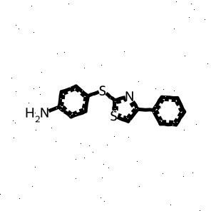 Nc1ccc(Sc2nc(-c3ccccc3)cs2)cc1